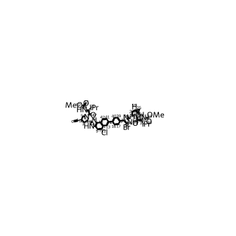 C#C[C@@H]1C[C@@H](c2nc3c(cc(Cl)c4cc(-c5ccc(-c6nc([C@@H]7C[C@H]8C[C@H]8N7C(=O)[C@@H](NC(=O)OC)C(C)C)[nH]c6Br)cc5)ccc43)[nH]2)N(C(=O)[C@@H](NC(=O)OC)C(C)C)C1